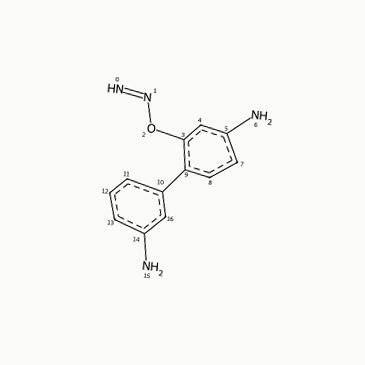 N=NOc1cc(N)ccc1-c1cccc(N)c1